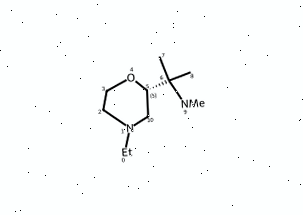 CCN1CCO[C@H](C(C)(C)NC)C1